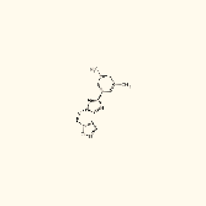 Cc1cc(C)cc(-c2ncn(/C=C\c3ncno3)n2)c1